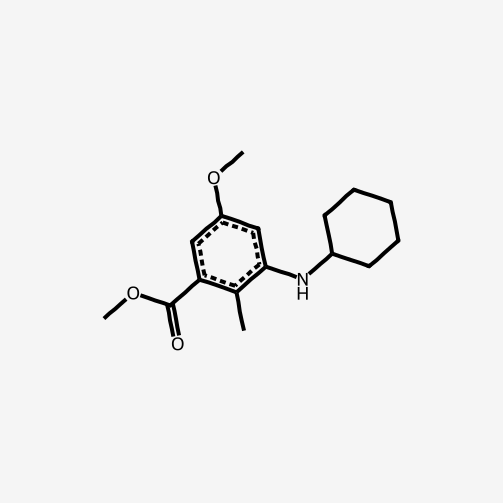 COC(=O)c1cc(OC)cc(NC2CCCCC2)c1C